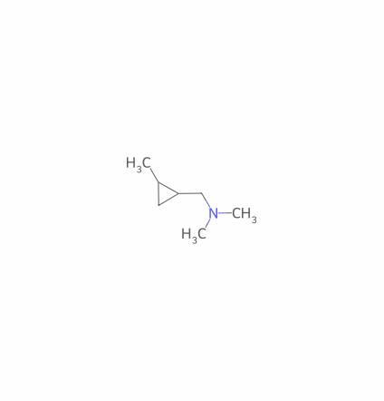 CC1CC1CN(C)C